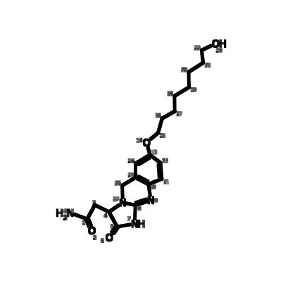 NC(=O)CC1C(=O)NC2=Nc3ccc(OCCCCCCCCO)cc3CN21